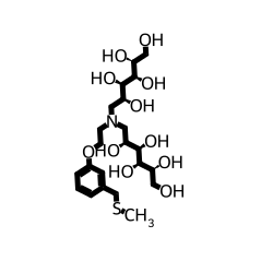 CSCc1cccc(OCCN(C[C@H](O)[C@@H](O)[C@H](O)[C@H](O)CO)C[C@H](O)[C@@H](O)[C@H](O)[C@H](O)CO)c1